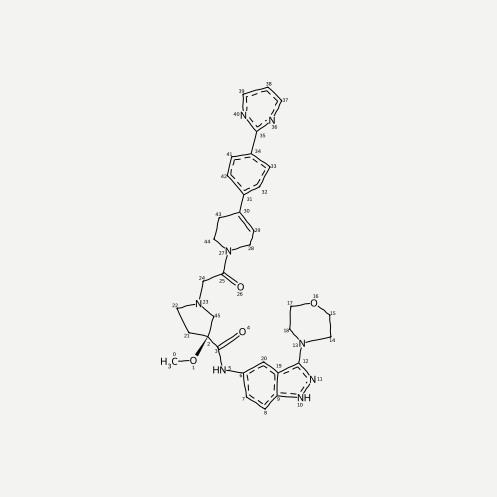 CO[C@@]1(C(=O)Nc2ccc3[nH]nc(N4CCOCC4)c3c2)CCN(CC(=O)N2CC=C(c3ccc(-c4ncccn4)cc3)CC2)C1